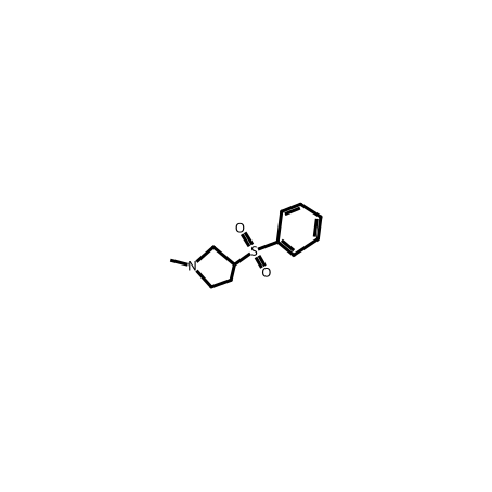 CN1CCC(S(=O)(=O)c2ccccc2)C1